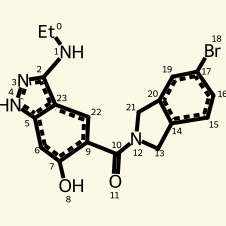 CCNc1n[nH]c2cc(O)c(C(=O)N3Cc4ccc(Br)cc4C3)cc12